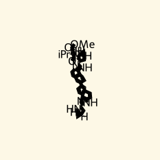 COC(=O)N[C@H](C(=O)N1[C@@H]2C[C@@H]2C[C@H]1c1nc2ccc3cc(-c4ccc5c(ccc6[nH]c([C@@H]7C[C@H]8C[C@H]8N7)nc65)c4)ccc3c2[nH]1)C(C)C